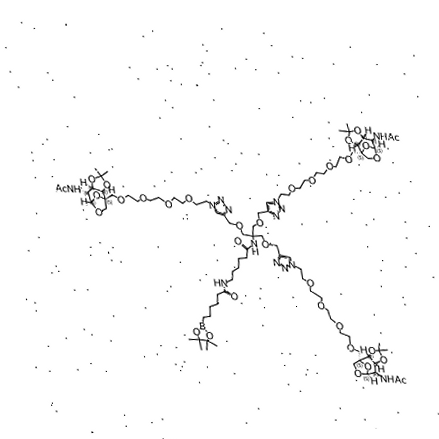 CC(=O)N[C@H]1[C@H]2OC[C@](COCCOCCOCCOCCn3cc(COCC(COCc4cn(CCOCCOCCOCCOC[C@@]56CO[C@@H](O5)[C@H](NC(C)=O)[C@H]5OC(C)(C)O[C@H]56)nn4)(COCc4cn(CCOCCOCCOCCOC[C@@]56CO[C@@H](O5)[C@H](NC(C)=O)[C@H]5OC(C)(C)O[C@H]56)nn4)NC(=O)CCCCCNC(=O)CCCCCB4OC(C)(C)C(C)(C)O4)nn3)(O2)[C@@H]2OC(C)(C)O[C@H]12